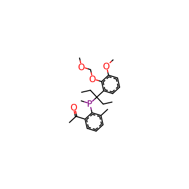 CCC(CC)(c1cccc(OC)c1OCOC)P(C)c1c(C)cccc1C(C)=O